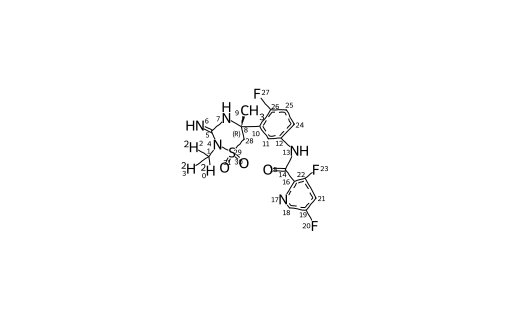 [2H]C([2H])([2H])N1C(=N)N[C@](C)(c2cc(NC(=O)c3ncc(F)cc3F)ccc2F)CS1(=O)=O